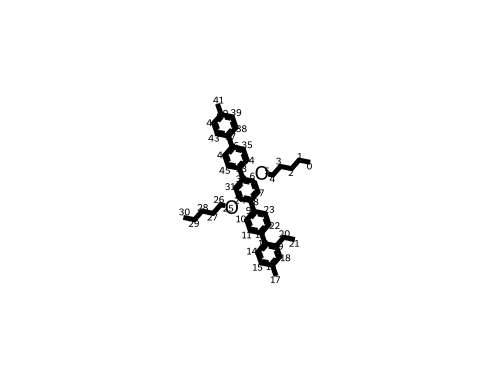 CCCCCOc1cc(-c2ccc(-c3ccc(C)cc3CC)cc2)c(OCCCCC)cc1-c1ccc(-c2ccc(C)cc2)cc1